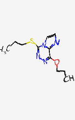 CCCOc1nnc(SCCC)n2ccnc12